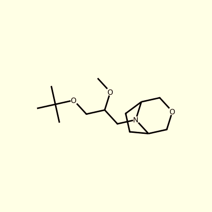 COC(COC(C)(C)C)CN1C2CCC1COC2